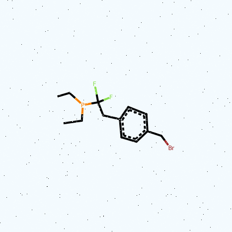 CCP(CC)C(F)(F)Cc1ccc(CBr)cc1